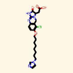 O=C(O)CC1C(=O)NC2=Nc3ccc(OCCCCCCCCn4ccnc4)c(Cl)c3CN21